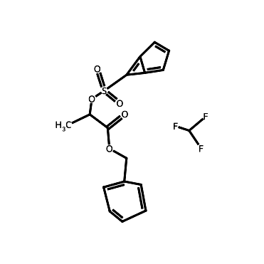 CC(OS(=O)(=O)c1c2cccc1-2)C(=O)OCc1ccccc1.FC(F)F